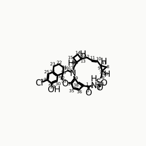 O=C1NS(=O)(=O)C[C@H]2C[C@H]2/C=C/C[C@H]2CC[C@H]2CN2C[C@@]3(CCCc4cc(Cl)c(O)cc43)COc3ccc1cc32